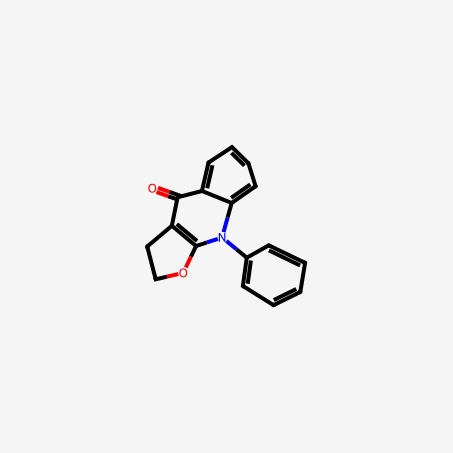 O=c1c2c(n(-c3ccccc3)c3ccccc13)OCC2